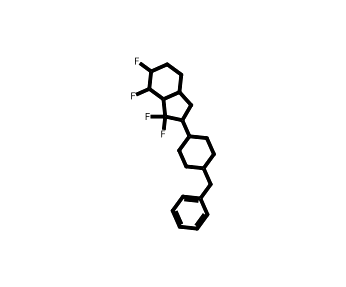 FC1CCC2CC(C3CCC(Cc4ccccc4)CC3)C(F)(F)C2C1F